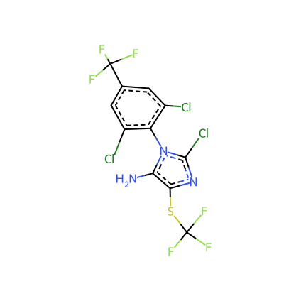 Nc1c(SC(F)(F)F)nc(Cl)n1-c1c(Cl)cc(C(F)(F)F)cc1Cl